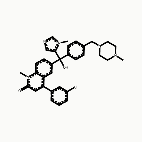 CN1CCN(Cc2ccc(C(O)(c3ccc4c(c3)c(-c3cccc(Cl)c3)cc(=O)n4C)c3cncn3C)cc2)CC1